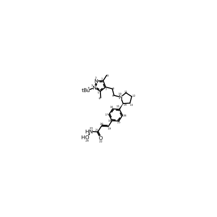 Cc1nn(C(C)(C)C)c(C)c1CCN1CCC[C@H]1c1ccc(/C=C/C(=O)NO)cc1